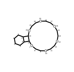 C1CCC2C(C1)C1OCCOCCOCCOCCOCCOC21